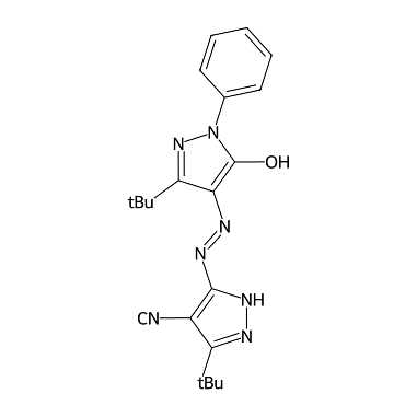 [C-]#[N+]c1c(C(C)(C)C)n[nH]c1/N=N/c1c(C(C)(C)C)nn(-c2ccccc2)c1O